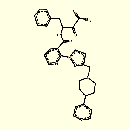 NC(=O)C(=O)C(Cc1ccccc1)NC(=O)c1cccnc1-n1ccc(CN2CCC(c3ccccc3)CC2)n1